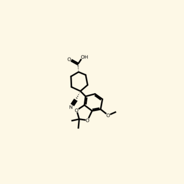 COc1ccc([C@]2(C#N)CC[C@@H](C(=O)O)CC2)c2c1OC(C)(C)O2